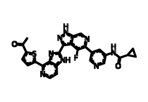 CC(=O)c1ccc(-c2nccc3[nH]c(-c4n[nH]c5cnc(-c6cncc(NC(=O)C7CC7)c6)c(F)c45)nc23)s1